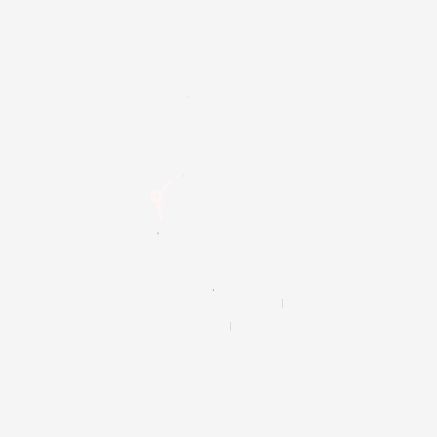 FC(F)(F)c1c[c]cc(OCC2CC2)c1